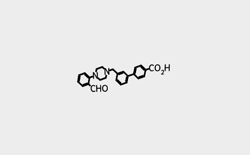 O=Cc1ccccc1N1CCN(Cc2cccc(-c3ccc(C(=O)O)cc3)c2)CC1